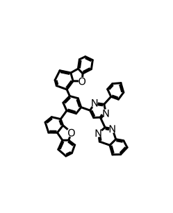 c1ccc(-c2nc(-c3cc(-c4cccc5c4oc4ccccc45)cc(-c4cccc5c4oc4ccccc45)c3)cc(-c3ncc4ccccc4n3)n2)cc1